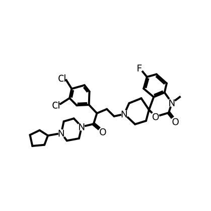 CN1C(=O)OC2(CCN(CCC(C(=O)N3CCN(C4CCCC4)CC3)c3ccc(Cl)c(Cl)c3)CC2)c2cc(F)ccc21